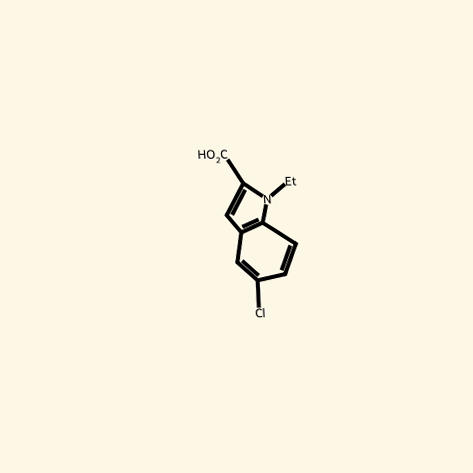 CCn1c(C(=O)O)cc2cc(Cl)ccc21